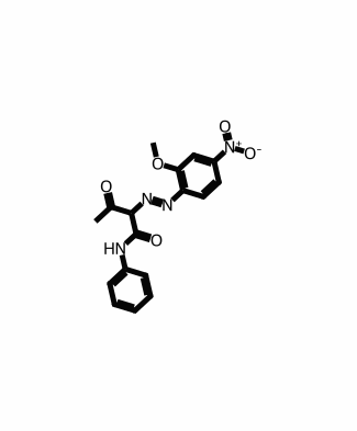 COc1cc([N+](=O)[O-])ccc1/N=N/C(C(C)=O)C(=O)Nc1ccccc1